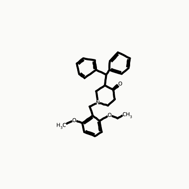 CCOc1cccc(OC)c1CN1CCC(=O)C(C(c2ccccc2)c2ccccc2)C1